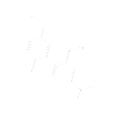 COc1ccc(F)c(-c2ccc([N+](=O)[O-])cc2C(=O)O)c1